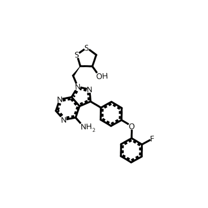 Nc1ncnc2c1c(-c1ccc(Oc3ccccc3F)cc1)nn2C[C@H]1SSCC1O